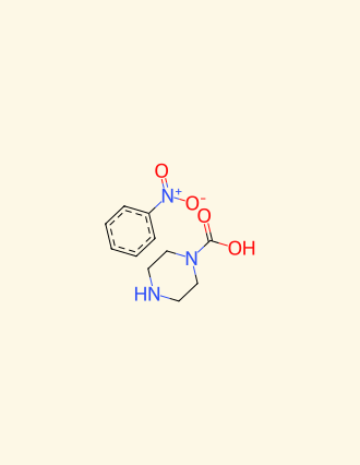 O=C(O)N1CCNCC1.O=[N+]([O-])c1ccccc1